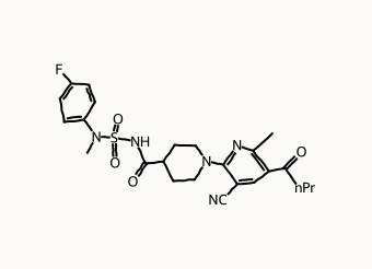 CCCC(=O)c1cc(C#N)c(N2CCC(C(=O)NS(=O)(=O)N(C)c3ccc(F)cc3)CC2)nc1C